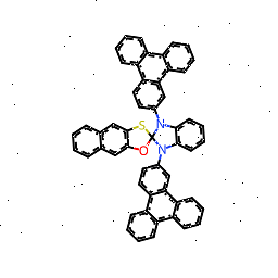 c1ccc2c(c1)N(c1ccc3c4ccccc4c4ccccc4c3c1)C1(Oc3cc4ccccc4cc3S1)N2c1ccc2c3ccccc3c3ccccc3c2c1